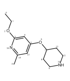 CCOc1cc(OC2CCNCC2)cc(C)n1